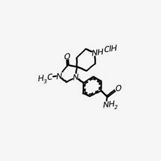 CN1CN(c2ccc(C(N)=O)cc2)C2(CCNCC2)C1=O.Cl